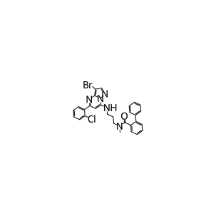 CN(CCCNc1cc(-c2ccccc2Cl)nc2c(Br)cnn12)C(=O)c1ccccc1-c1ccccc1